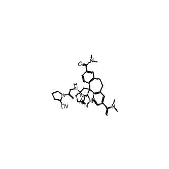 C=C(c1ccc2c(c1)CCc1cc(C(=O)N(C)C)ccc1C2(CC1(NCC(=C)N2CCCC2C#N)CCCC1)c1nnn[nH]1)N(C)C